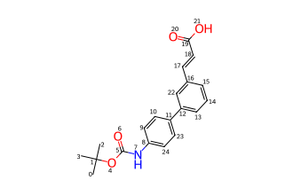 CC(C)(C)OC(=O)Nc1ccc(-c2cccc(/C=C/C(=O)O)c2)cc1